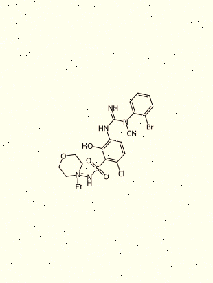 CC[N+]1(NS(=O)(=O)c2c(Cl)ccc(NC(=N)N(C#N)c3ccccc3Br)c2O)CCOCC1